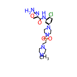 CN1CCN(CCS(=O)(=O)N2CCN(c3ccc(Cl)c(NC(=O)c4coc(N)n4)c3)CC2)CC1